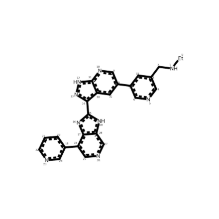 CCNCc1cncc(-c2cnc3[nH]nc(-c4nc5c(-c6cccnc6)cncc5[nH]4)c3c2)c1